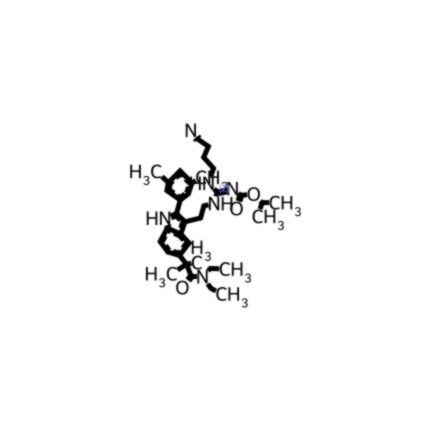 CCN(CC)C(=O)C(C)(C)c1ccc2[nH]c(-c3cc(C)cc(C)c3)c(CCN/C(=N\C(=O)OC(C)C)NCCCC#N)c2c1